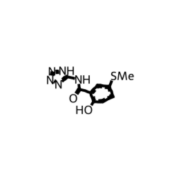 CSc1ccc(O)c(C(=O)Nc2nnn[nH]2)c1